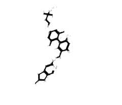 Cc1cc(OCCC(C)(C)O)cc(C)c1-c1cc(COc2cc3c(cn2)CC(C)C3)c(F)cc1F